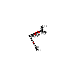 C=C.C=C.C=C.C=C.C=C.C=C.C=C.C=C.C=C.C=C.C=C.C=C.C=C.C=C.C=C(C)C(=O)O.C=C(C)C(=O)O.CC(O)COC(C)COC(C)CO.OCCO